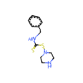 S=C(NCc1ccccc1)SN1CCNCC1